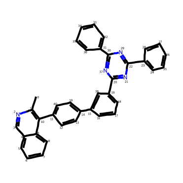 Cc1ncc2ccccc2c1-c1ccc(-c2cccc(-c3nc(-c4ccccc4)nc(-c4ccccc4)n3)c2)cc1